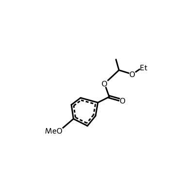 CCOC(C)OC(=O)c1ccc(OC)cc1